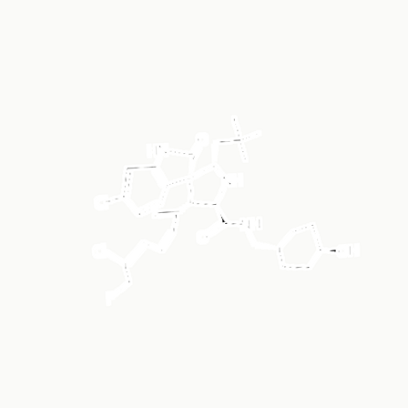 C=C(/C=C\C=C(\Cl)CF)[C@H]1[C@H](C(=O)NC[C@H]2CC[C@H](O)CC2)N[C@@H](CC(C)(C)C)[C@@]12C(=O)Nc1cc(Cl)ccc12